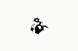 C=CCl.C=Cc1ccccc1C(=O)c1ccccc1